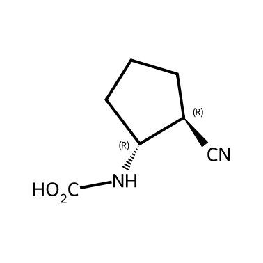 N#C[C@@H]1CCC[C@H]1NC(=O)O